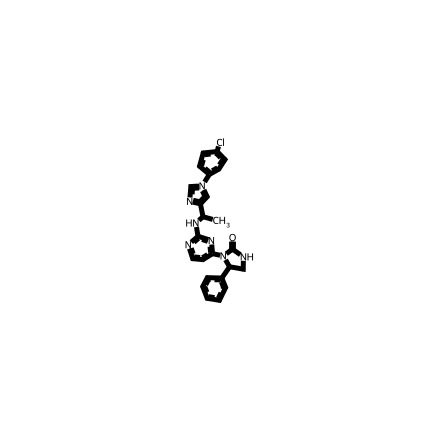 CC(Nc1nccc(N2C(=O)NCC2c2ccccc2)n1)c1cn(-c2ccc(Cl)cc2)cn1